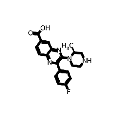 C[C@H]1CNCCN1c1nc2cc(C(=O)O)ccc2nc1-c1ccc(F)cc1